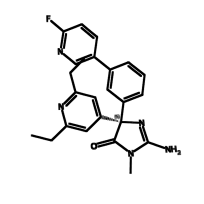 CCc1cc([C@]2(c3cccc(-c4ccc(F)nc4)c3)N=C(N)N(C)C2=O)cc(CC)n1